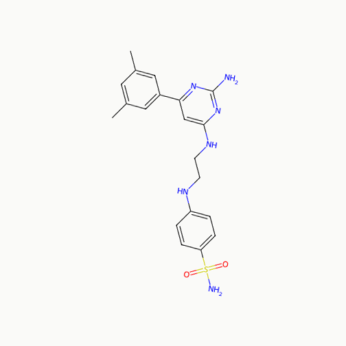 Cc1cc(C)cc(-c2cc(NCCNc3ccc(S(N)(=O)=O)cc3)nc(N)n2)c1